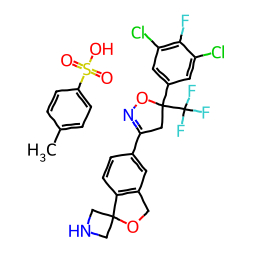 Cc1ccc(S(=O)(=O)O)cc1.Fc1c(Cl)cc(C2(C(F)(F)F)CC(c3ccc4c(c3)COC43CNC3)=NO2)cc1Cl